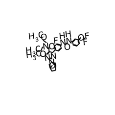 COCCN1CC(C)(C)Oc2nc(N3CC4CCC(C3)O4)nc(-c3ccc(NC(=O)Nc4cccc(OC(F)F)c4)c(F)c3)c2C1=O